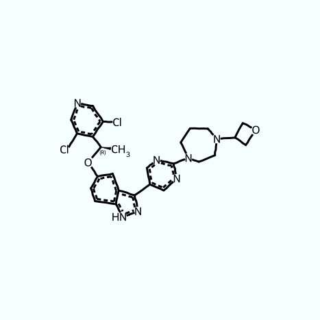 C[C@@H](Oc1ccc2[nH]nc(-c3cnc(N4CCCN(C5COC5)CC4)nc3)c2c1)c1c(Cl)cncc1Cl